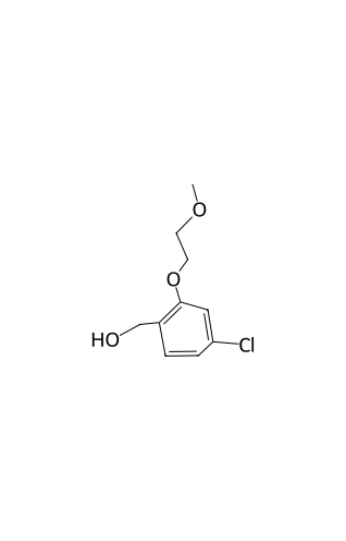 COCCOc1cc(Cl)ccc1CO